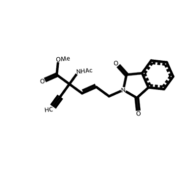 C#CC(C=CCN1C(=O)c2ccccc2C1=O)(NC(C)=O)C(=O)OC